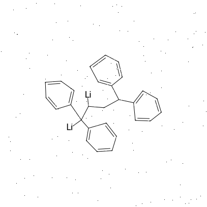 [Li][CH](CC(c1ccccc1)c1ccccc1)[C]([Li])(c1ccccc1)c1ccccc1